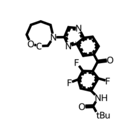 CC(C)(C)C(=O)Nc1cc(F)c(F)c(C(=O)c2ccc3ncc(N4CCCCOCC4)nc3c2)c1F